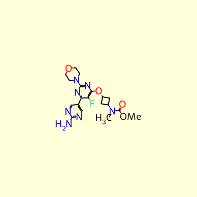 COC(=O)N(C)[C@H]1C[C@H](Oc2nc(N3CCOCC3)nc(-c3cnc(N)nc3)c2F)C1